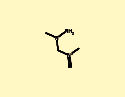 C=[N+](C)CN(C)N